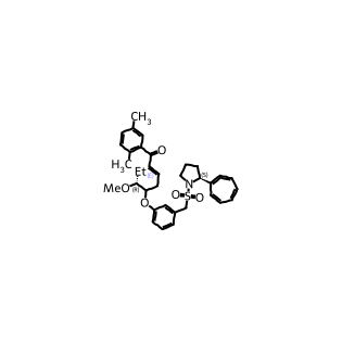 CC[C@@H](OC)C(C/C=C/C(=O)c1cc(C)ccc1C)Oc1cccc(CS(=O)(=O)N2CCC[C@H]2C2=C=CC=CC=C2)c1